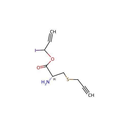 C#CCSC[C@H](N)C(=O)OC(I)C#C